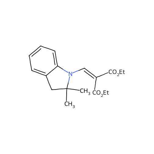 CCOC(=O)C(=CN1c2ccccc2CC1(C)C)C(=O)OCC